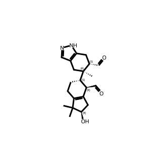 CC1(C)C2=C(C[C@H]1O)[C@H](C=O)[C@@H]([C@@]1(C)Cc3cn[nH]c3C[C@@H]1C=O)CC2